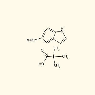 CC(C)(C)C(=O)O.COc1ccc2[nH]ccc2c1